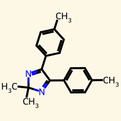 Cc1ccc(C2=NC(C)(C)N=C2c2ccc(C)cc2)cc1